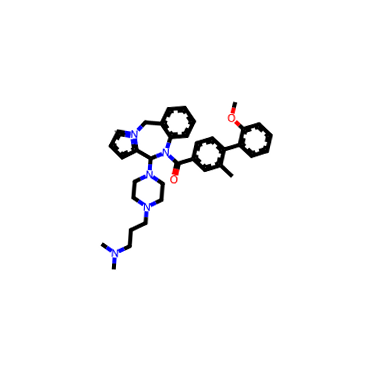 COc1ccccc1-c1ccc(C(=O)N2c3ccccc3Cn3[c]ccc3C2N2CCN(CCCN(C)C)CC2)cc1C